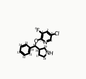 Fc1cc(Cl)cnc1O[C@H](c1ccccc1)C1CCNC1